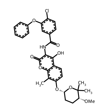 CO[C@@H]1CC[C@H](Oc2ccc3c(O)c(NC(=O)c4ccc(Cl)c(Oc5ccccc5)c4)c(=O)oc3c2C)OC1(C)C